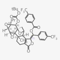 CC(C)[C@]12O[C@H]1[C@@H]1O[C@@]13[C@@]1(C)CCC4=C(/C(=C(\OC(=O)c5ccc(C(F)(F)F)cc5)c5ccc(C(F)(F)F)cc5)OC4=O)[C@@H]1C1C[C@@]3(O1)[C@@H]2OC(=O)OC(C)(C)C